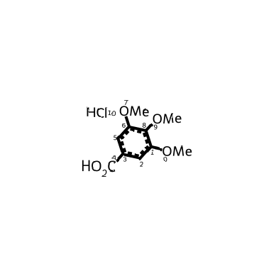 COc1cc(C(=O)O)cc(OC)c1OC.Cl